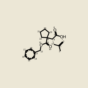 C=C(C)C[C@@H](C(=O)O)C1(C(=O)OCc2ccccc2)CCCC1